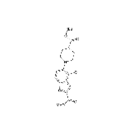 COC(=O)c1cc2c(Cl)c(N3CCN(C(=O)OC(C)(C)C)CC3)ccc2o1